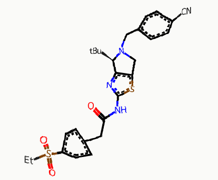 CCS(=O)(=O)c1ccc(CC(=O)Nc2nc3c(s2)CN(Cc2ccc(C#N)cc2)[C@@H]3C(C)(C)C)cc1